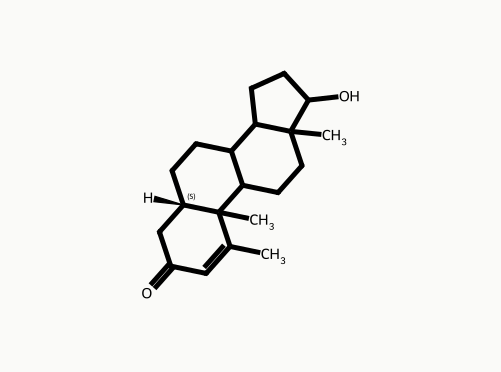 CC1=CC(=O)C[C@@H]2CCC3C4CCC(O)C4(C)CCC3C12C